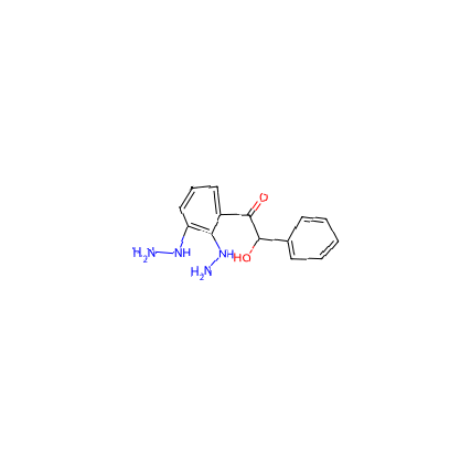 NNc1cccc(C(=O)C(O)c2ccccc2)c1NN